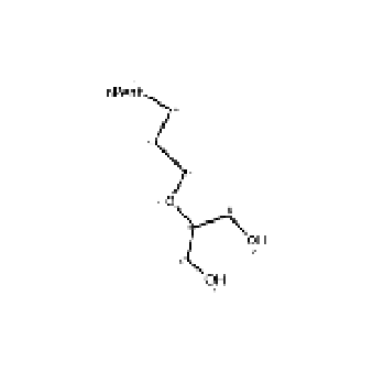 CCCCCCCCOC(CO)CO